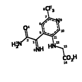 N=C(C(N)=O)c1cc(C(F)(F)F)ncc1NCC(=O)O